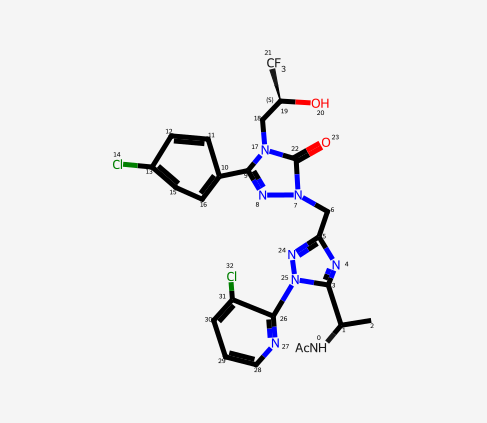 CC(=O)NC(C)c1nc(Cn2nc(-c3ccc(Cl)cc3)n(C[C@H](O)C(F)(F)F)c2=O)nn1-c1ncccc1Cl